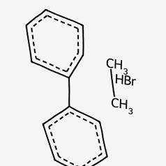 Br.CC.c1ccc(-c2ccccc2)cc1